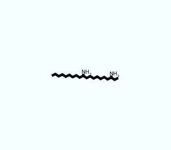 CCCCCCCCCC(N)CCCCCCCC(N)CC